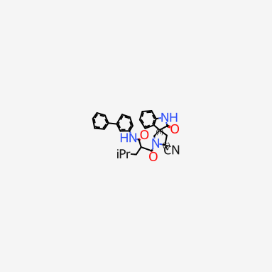 CC(C)CC(C(=O)Nc1cccc(-c2ccccc2)c1)C(=O)N1C[C@]2(C[C@H]1C#N)C(=O)Nc1ccccc12